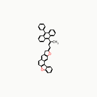 C/C(=C\C=C1/Cc2cc3ccc4oc5ccccc5c4c3cc2O1)c1c2ccccc2c(-c2ccccc2)c2ccccc12